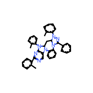 Cc1ccccc1-c1ncc2c(n1)N(c1ccccc1C)C(CC1N(c3ccccc3C)N=C(c3ccccc3)N1c1ccccc1)N2C